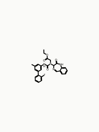 CCOC(=O)CN(C(=O)Nc1cc(C)cc(-c2ccccc2F)c1)C1N=Cc2ccccc2NC1=O